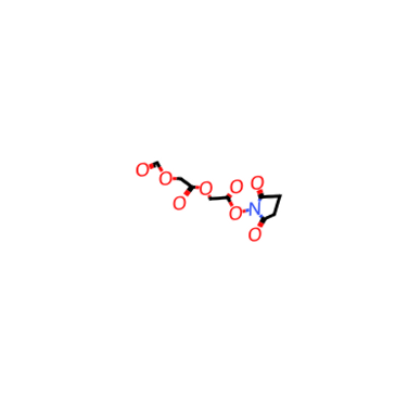 O=COCC(=O)OCC(=O)ON1C(=O)CCC1=O